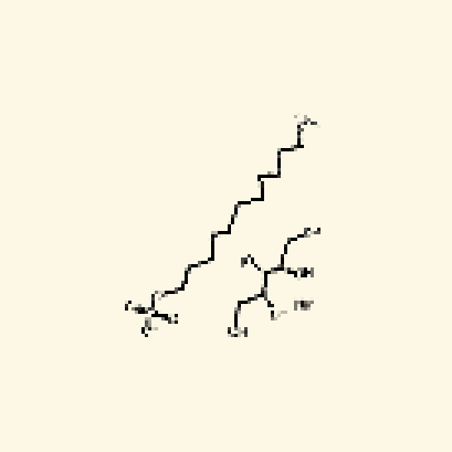 CCCCCCCCCCCCOS(=O)(=O)[O-].OC[C@@H](O)[C@H](O)[C@@H](O)CO.[Na+]